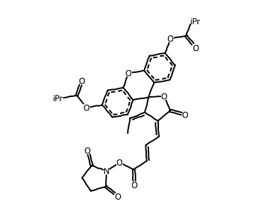 C\C=C1/C(=C\C=C\C(=O)ON2C(=O)CCC2=O)C(=O)OC12c1ccc(OC(=O)C(C)C)cc1Oc1cc(OC(=O)C(C)C)ccc12